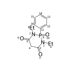 CCN1C(=O)CC(=O)N(CC)P1(=O)c1ccccc1